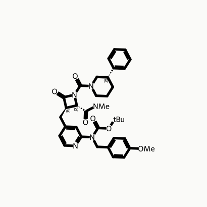 CNC(=O)[C@@H]1[C@@H](Cc2ccnc(N(Cc3ccc(OC)cc3)C(=O)OC(C)(C)C)c2)C(=O)N1C(=O)N1CCC[C@@H](c2ccccc2)C1